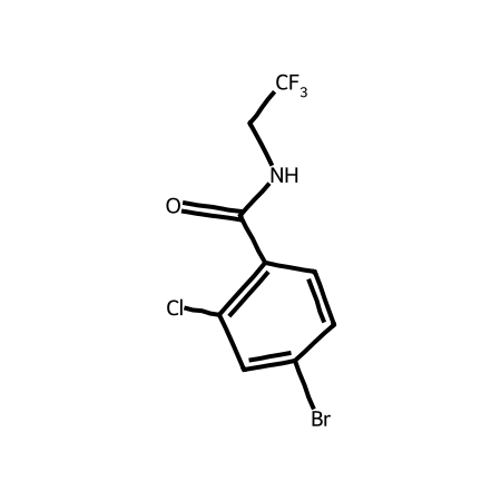 O=C(NCC(F)(F)F)c1ccc(Br)cc1Cl